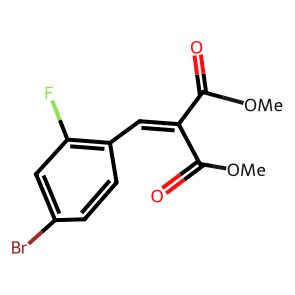 COC(=O)C(=Cc1ccc(Br)cc1F)C(=O)OC